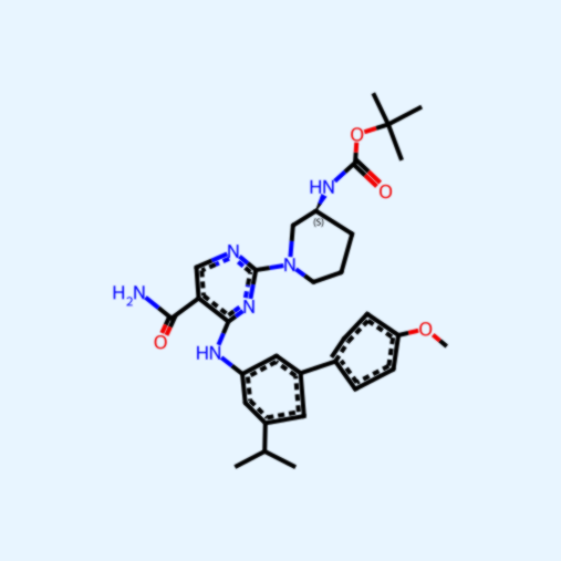 COc1ccc(-c2cc(Nc3nc(N4CCC[C@H](NC(=O)OC(C)(C)C)C4)ncc3C(N)=O)cc(C(C)C)c2)cc1